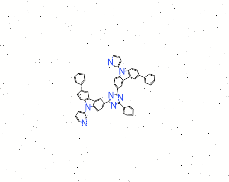 c1ccc(-c2ccc3c(c2)c2cc(-c4nc(-c5ccccc5)nc(-c5ccc6c(c5)c5cc(-c7ccccc7)ccc5n6-c5cccnc5)n4)ccc2n3-c2cccnc2)cc1